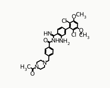 COc1cc(OC)c(Cl)c(-c2ccc(C(=N)NC(=O)c3ccc(CN4CCN(C(C)=O)CC4)cc3)c(N)c2)c1Cl